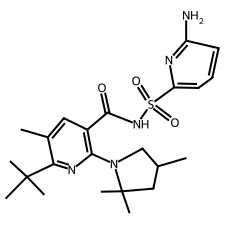 Cc1cc(C(=O)NS(=O)(=O)c2cccc(N)n2)c(N2CC(C)CC2(C)C)nc1C(C)(C)C